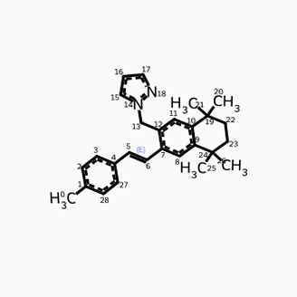 Cc1ccc(/C=C/c2cc3c(cc2Cn2cccn2)C(C)(C)CCC3(C)C)cc1